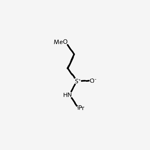 COCC[S+]([O-])NC(C)C